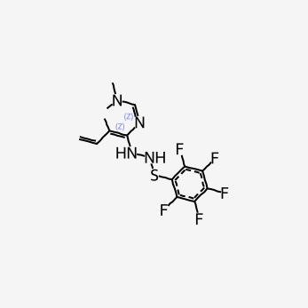 C=C/C(C)=C(/N=C\N(C)C)NNSc1c(F)c(F)c(F)c(F)c1F